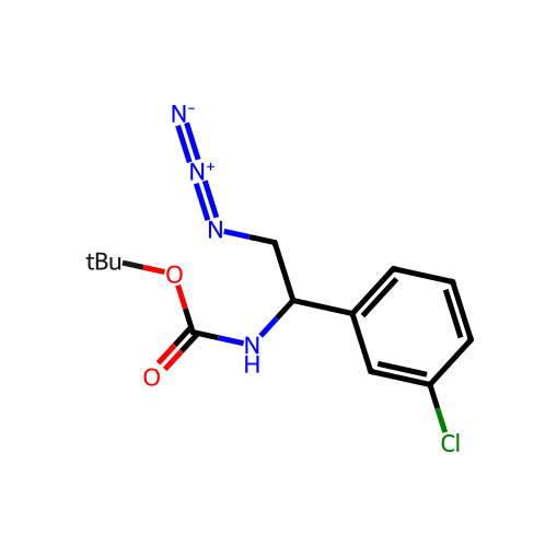 CC(C)(C)OC(=O)NC(CN=[N+]=[N-])c1cccc(Cl)c1